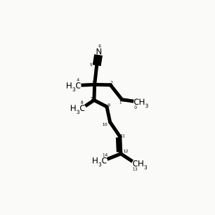 CCCC(C)(C#N)C(C)CCC=C(C)C